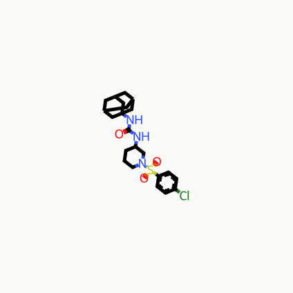 O=C(NC1CCCN(S(=O)(=O)c2ccc(Cl)cc2)C1)NC12CC3CC(CC(C3)C1)C2